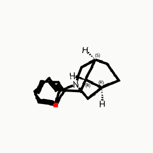 C1=CC(N2C[C@H]3CC[C@@H](C2)[C@@H]3Cc2ccccc2)=CC1